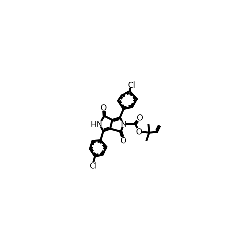 C=CC(C)(C)OC(=O)N1C(=O)C2=C(c3ccc(Cl)cc3)NC(=O)C2=C1c1ccc(Cl)cc1